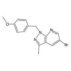 COc1ccc(Cn2nc(I)c3cc(Br)cnc32)cc1